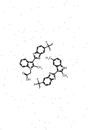 Cc1c(-c2nc3cc(C(F)(F)F)ccc3s2)c2ccccc2n1CC(=O)O.Cc1ccc2[nH]c(C)c(-c3nc4cc(C(F)(F)F)ccc4s3)c2c1